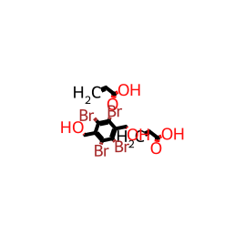 C=CC(=O)O.C=CC(=O)O.OCc1c(Br)c(Br)c(CO)c(Br)c1Br